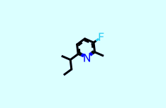 CCC(C)c1ccc(F)c(C)n1